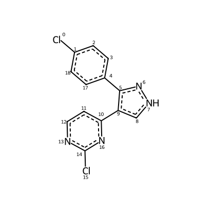 Clc1ccc(-c2n[nH]cc2-c2ccnc(Cl)n2)cc1